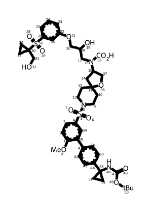 COc1ccc(S(=O)(=O)N2CCC3(CC2)CC(N(CC(O)COc2cccc(S(=O)(=O)C4(CO)CC4)c2)C(=O)O)CO3)cc1-c1ccc(C2(NC(=O)OC(C)(C)C)CC2)cc1